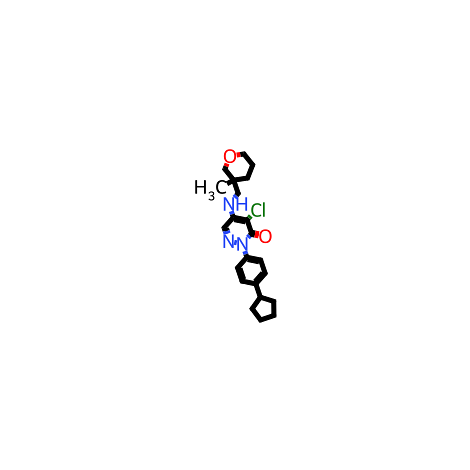 CC1(CNc2cnn(-c3ccc(C4CCCC4)cc3)c(=O)c2Cl)CCCOC1